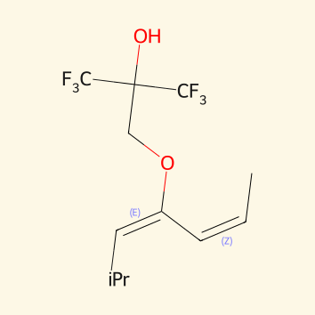 C/C=C\C(=C/C(C)C)OCC(O)(C(F)(F)F)C(F)(F)F